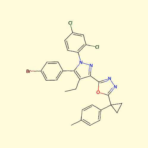 CCc1c(-c2nnc(C3(c4ccc(C)cc4)CC3)o2)nn(-c2ccc(Cl)cc2Cl)c1-c1ccc(Br)cc1